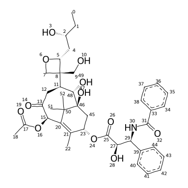 CC[C@@H](O)C[C@H]1OC[C@@]1(CO)[C@@H]1CC(=O)[C@H](OC(C)=O)C2=C(C)[C@@H](OC(=O)[C@H](O)[C@@H](NC(=O)c3ccccc3)c3ccccc3)C[C@@](O)([C@H]1O)C2(C)C